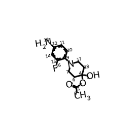 CC(=O)OC1(O)CCN(c2ccc(N)cc2F)CC1